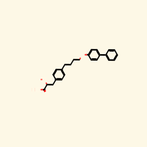 COC(Cc1ccc(CCCCOc2ccc(-c3ccccc3)cc2)cc1)C(=O)O